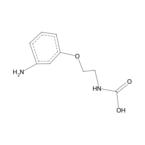 Nc1cccc(OCCNC(=O)O)c1